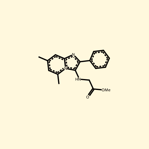 COC(=O)CNc1c(-c2ccccc2)nc2cc(C)cc(C)n12